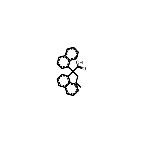 CCCC(C(=O)O)(c1cccc2ccccc12)c1cccc2ccccc12